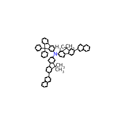 CC1(C)c2cc(-c3ccc4ccccc4c3)ccc2-c2ccc(N(c3ccc4c(c3)C(C)(C)c3cc(-c5ccc6ccccc6c5)ccc3-4)c3ccc4c(c3)C(c3ccccc3)(c3ccccc3)c3ccccc3-4)cc21